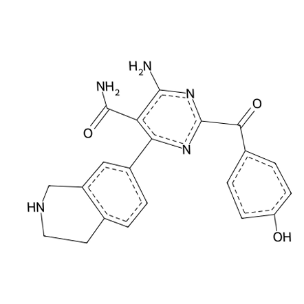 NC(=O)c1c(N)nc(C(=O)c2ccc(O)cc2)nc1-c1ccc2c(c1)CNCC2